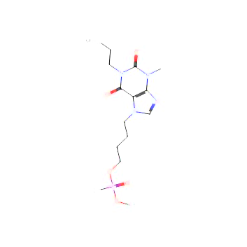 CCOP(=O)(CC)OCCCCn1cnc2c1c(=O)n(CCOC)c(=O)n2C